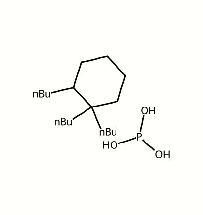 CCCCC1CCCCC1(CCCC)CCCC.OP(O)O